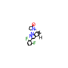 CC1(C)[C@H]2CC[C@]1(CN1CCCC1=O)c1nnc(-c3c(F)cccc3F)cc12